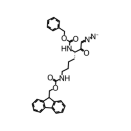 [N-]=[N+]=CC(=O)[C@H](CCCCNC(=O)OCC1c2ccccc2-c2ccccc21)NC(=O)OCc1ccccc1